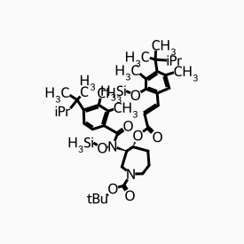 Cc1cc(C=CC(=O)O[C@@H]2CCCN(C(=O)OC(C)(C)C)C[C@H]2N(O[SiH3])C(=O)c2ccc(C(C)(C)C(C)C)c(C)c2C)c(O[SiH3])c(C)c1C(C)(C)C(C)C